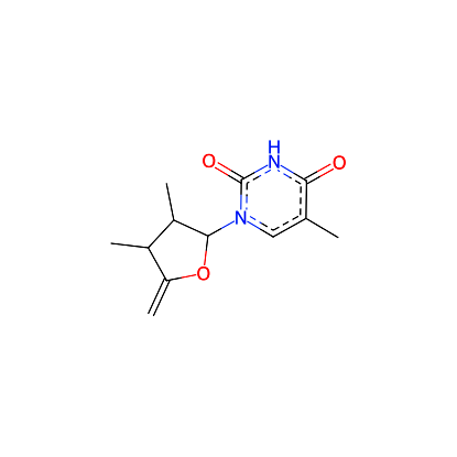 C=C1OC(n2cc(C)c(=O)[nH]c2=O)C(C)C1C